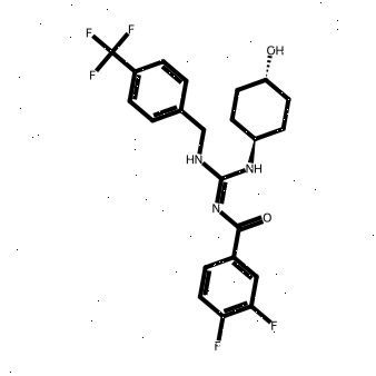 O=C(/N=C(/NCc1ccc(C(F)(F)F)cc1)N[C@H]1CC[C@H](O)CC1)c1ccc(F)c(F)c1